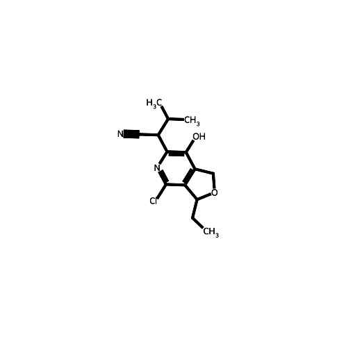 CCC1OCc2c(O)c(C(C#N)C(C)C)nc(Cl)c21